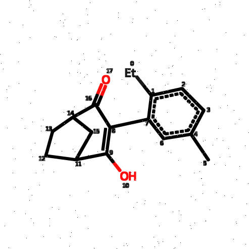 CCc1ccc(C)cc1C1=C(O)C2CCC(C2)C1=O